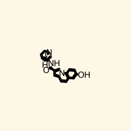 O=C(N[C@H]1CN2CCC1CC2)c1cc2ccc3cc(O)ccc3n2c1